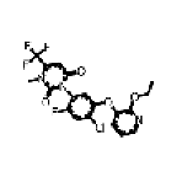 CCOc1ncccc1Oc1cc(-n2c(=O)cc(C(F)(F)F)n(C)c2=O)c(F)cc1Cl